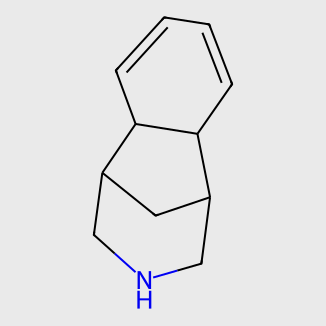 C1=CC2C3CNCC(C3)C2C=C1